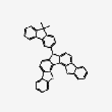 CC1(C)c2ccccc2-c2cc(-n3c4ccc5c6ccccc6sc5c4c4c5sc6ccccc6c5ccc43)ccc21